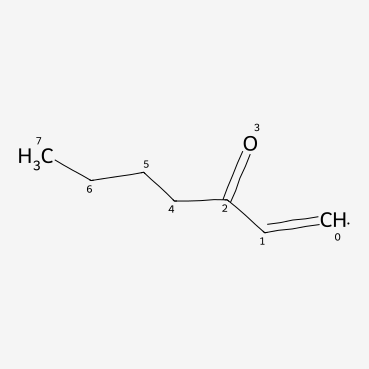 [CH]=CC(=O)CCCC